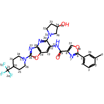 Cc1cccc(-c2nc(C(=O)Nc3cc4oc(N5CCC(C(F)(F)F)CC5)nc4nc3N3CCC(O)C3)co2)c1